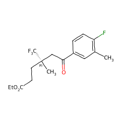 CCOC(=O)CC[C@](C)(CC(=O)c1ccc(F)c(C)c1)C(F)(F)F